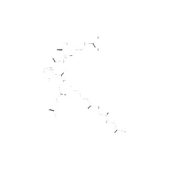 CCNC(=O)[C@@H](CCCNC(=N)N)NC(=O)[C@@H]1CSCN1C(=O)[C@H](CSCCCC(=O)NCC(=O)NCC(N)=O)NC(=O)CNC(=O)CC(C)C